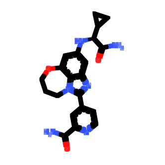 NC(=O)c1cc(-c2nc3cc(N[C@H](C(N)=O)C4CC4)cc4c3n2CCCO4)ccn1